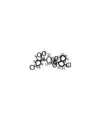 O=C1OCc2cc(Cl)ccc2N1C1CCN(S(=O)(=O)c2ccc(Cl)c3ccccc23)CC1